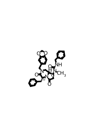 CN(C(=O)NCc1ccccc1)N1CC(=O)N2[C@@H](Cc3ccccc3)C(=O)N(Cc3ccc4c(c3)OCO4)C[C@@H]21